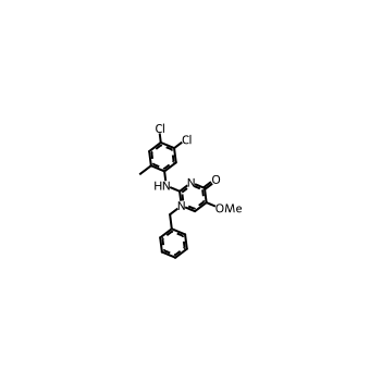 COc1cn(Cc2ccccc2)c(Nc2cc(Cl)c(Cl)cc2C)nc1=O